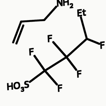 C=CCN.CCC(F)C(F)(F)C(F)(F)S(=O)(=O)O